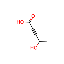 CC(O)C#CC(=O)O